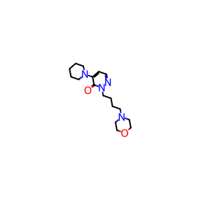 O=c1c(N2CCCCC2)ccnn1CCCCN1CCOCC1